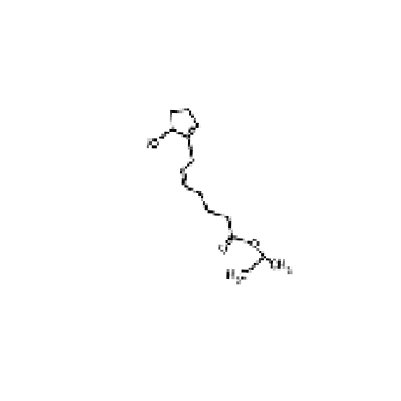 CC(C)OC(=O)CCC/C=C\CC1=CCCC1O